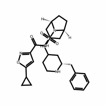 O=C(N[C@H]1C[C@H]2CC[C@@H](C1)N2S(=O)(=O)NC1CCN[C@@H](Cc2ccccc2)C1)c1cc(C2CC2)on1